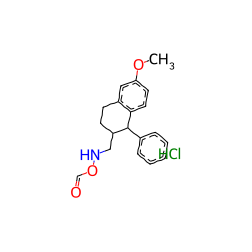 COc1ccc2c(c1)CCC(CNOC=O)C2c1ccccc1.Cl